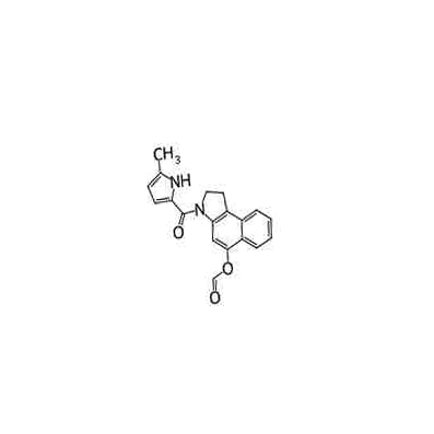 Cc1ccc(C(=O)N2CCc3c2cc(OC=O)c2ccccc32)[nH]1